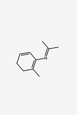 CC(C)=NC1=C(C)CCC=C1